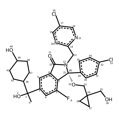 CC(O)(c1cc(F)c2c(c1)C(=O)N(Cc1ncc(Cl)cn1)[C@@]2(OCC1(CO)CC1)c1ccc(Cl)cc1)C1CCC(O)CC1